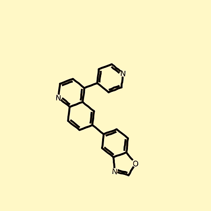 c1cc(-c2ccnc3ccc(-c4ccc5ocnc5c4)cc23)ccn1